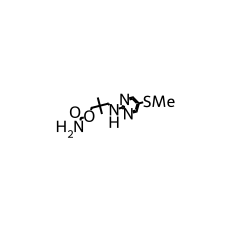 CSc1cnc(NCC(C)(C)COC(N)=O)nc1